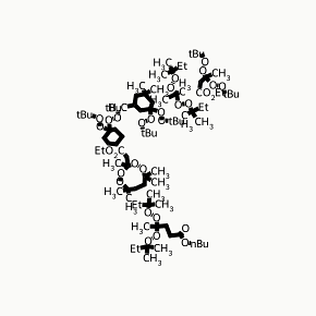 CC(C)(C)OOC1(OOC(C)(C)C)CCCCC1.CC1CC(C)(C)CC(OOC(C)(C)C)(OOC(C)(C)C)C1.CCC(C)(C)OOC(C)(C)OOC(C)(C)CC.CCCCOC(=O)CCC(C)(OOC(C)(C)CC)OOC(C)(C)CC.CCOC(=O)CC(C)(OOC(C)(C)C)OOC(C)(C)C.CCOC(=O)CC1(C)OOC(C)(C)CCC(C)(C)OO1